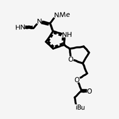 CCC(C)CC(=O)OCC1CCC(c2ccc(/C(=N\C=N)NC)[nH]2)O1